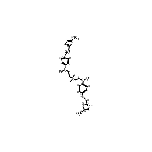 CCN(CC[N+](C)(C)CCN(CC)c1ccc(/N=N/c2ncc([N+](=O)[O-])s2)cc1)c1ccc(/N=N/c2ncc([N+](=O)[O-])s2)cc1